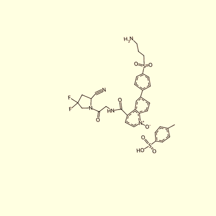 Cc1ccc(S(=O)(=O)O)cc1.N#CC1CC(F)(F)CN1C(=O)CNC(=O)c1cc[n+]([O-])c2ccc(-c3ccc(S(=O)(=O)CCCN)cc3)cc12